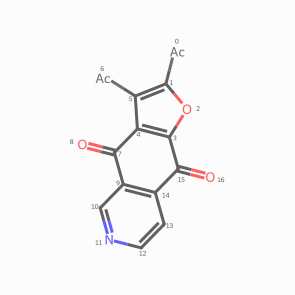 CC(=O)c1oc2c(c1C(C)=O)C(=O)c1cnccc1C2=O